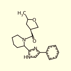 CC1CC(C(=O)N2CCCCC2c2nc(-c3ccccc3)c[nH]2)CO1